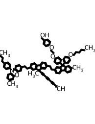 C#CC#CC#CC#CC1(C)c2cc(CCc3ccc4c(c3)Oc3cc(C)ccc3N4c3ccc(CCCC)cc3)ccc2-c2ccc(CCc3ccc4c(c3)C(c3ccc(OCCCCCC)cc3)(c3ccc(OCCOc5ccc(CO)cc5)cc3)c3cc(C)ccc3-4)cc21